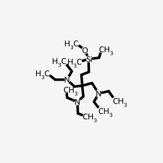 CCN(CC)CC(CC[Si](C)(CC)OC)(CN(CC)CC)CN(CC)CC